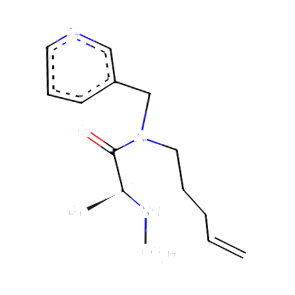 C=CCCCN(Cc1cccnc1)C(=O)[C@@H](NC(=O)O)C(C)C